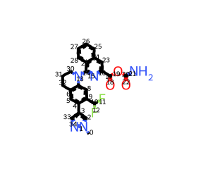 Cn1cc(-c2cc3c(cc2C(F)F)N(c2nc(C(=O)OC(N)=O)cc4ccccc24)CCC3)cn1